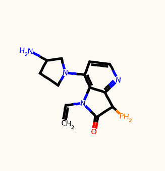 C=CN1C(=O)C(P)c2nccc(N3CCC(N)C3)c21